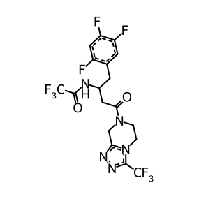 O=C(CC(Cc1cc(F)c(F)cc1F)NC(=O)C(F)(F)F)N1CCn2c(nnc2C(F)(F)F)C1